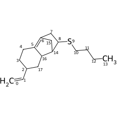 C=CC1CCC2=C3CC(SCCCC)C(C3)C2C1